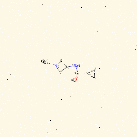 CC(C)(C)N1CC(NC(=O)C2CC2)C1